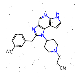 N#CCCN1CCC(n2c(Cc3cccc(C#N)c3)nc3cnc4[nH]ccc4c32)CC1